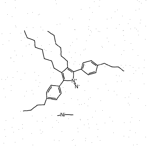 CCCCCCCCC1=C(c2ccc(CCCC)cc2)[N+](=[N-])C(c2ccc(CCCC)cc2)=C1CCCCCC.[CH3][Ni][CH3]